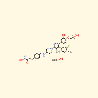 CC(C)(O)COc1ccc(-c2cnc(N3CCC(NCc4ccc(CCC(=O)NO)cc4)CC3)c(C#N)c2-c2ccc(C#N)c(F)c2)cc1O.O=CO